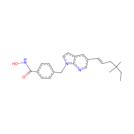 CCC(C)(C)CC=Cc1cnc2c(ccn2Cc2ccc(C(=O)NO)cc2)c1